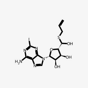 C=CCSC(O)[C@H]1O[C@@H](n2cnc3c(N)nc(I)nc32)[C@H](O)[C@@H]1O